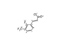 O=C(Cl)C=Cc1cccc(C(F)(F)F)c1F